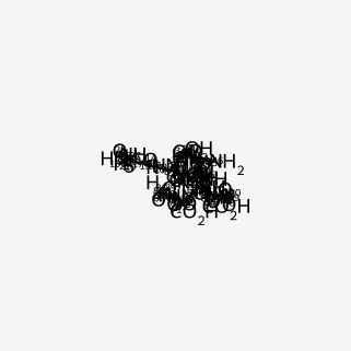 C#CCC(NC(=O)C(CCCCNC(=O)CCCC[C@H]1SC[C@H]2NC(=O)N[C@H]21)NC(=O)CNC(=O)C(CO)NC(=O)C(CCCCN)NC(=O)C(CO)NC(=O)CNC(=O)C(CCCCNC(=O)C(CCC(=O)O)NC(=O)CCN1C(=O)C=CC1=O)NC(=O)C(CCC(=O)O)NC(=O)CCN1C(=O)C=CC1=O)C(N)=O